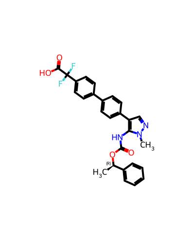 C[C@@H](OC(=O)Nc1c(-c2ccc(-c3ccc(C(F)(F)C(=O)O)cc3)cc2)cnn1C)c1ccccc1